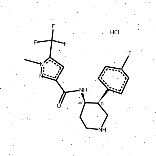 Cl.Cn1nc(C(=O)N[C@@H]2CCNC[C@@H]2c2ccc(F)cc2)cc1C(F)(F)F